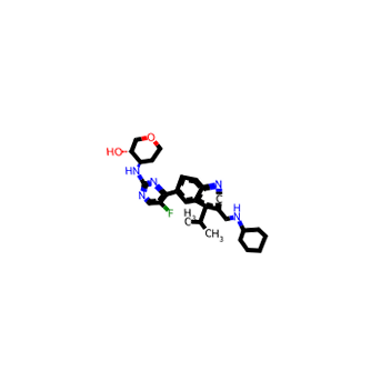 CC(C)c1c(CNC2CCCCC2)cnc2ccc(-c3nc(N[C@@H]4CCOC[C@H]4O)ncc3F)cc12